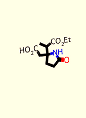 CCOC(=O)C(C)C1(CC(=O)O)CCC(=O)N1